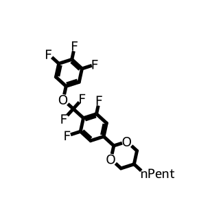 CCCCCC1COC(c2cc(F)c(C(F)(F)Oc3cc(F)c(F)c(F)c3)c(F)c2)OC1